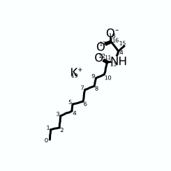 CCCCCCCCCCCC(=O)NC(C)C(=O)[O-].[K+]